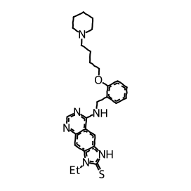 CCn1c(=S)[nH]c2cc3c(NCc4ccccc4OCCCCN4CCCCC4)ncnc3cc21